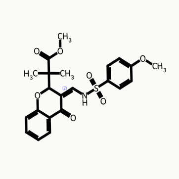 COC(=O)C(C)(C)C1Oc2ccccc2C(=O)/C1=C\NS(=O)(=O)c1ccc(OC)cc1